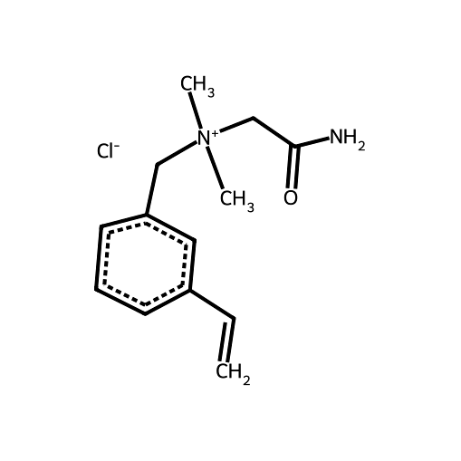 C=Cc1cccc(C[N+](C)(C)CC(N)=O)c1.[Cl-]